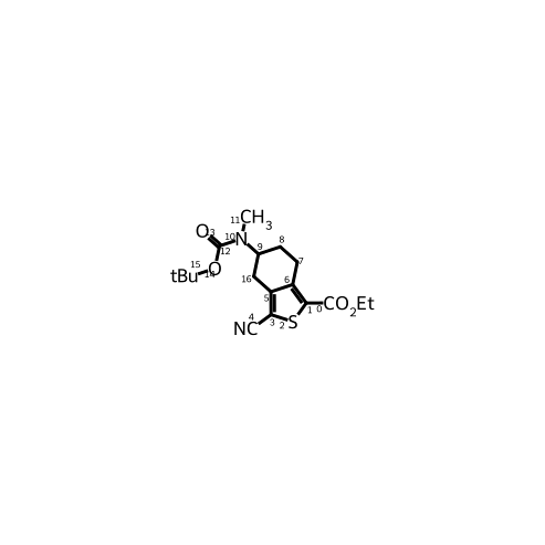 CCOC(=O)c1sc(C#N)c2c1CCC(N(C)C(=O)OC(C)(C)C)C2